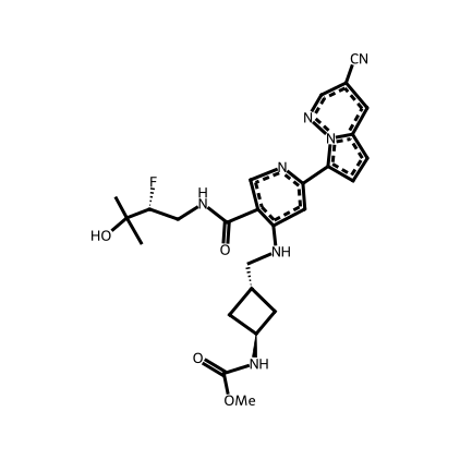 COC(=O)N[C@H]1C[C@H](CNc2cc(-c3ccc4cc(C#N)cnn34)ncc2C(=O)NC[C@@H](F)C(C)(C)O)C1